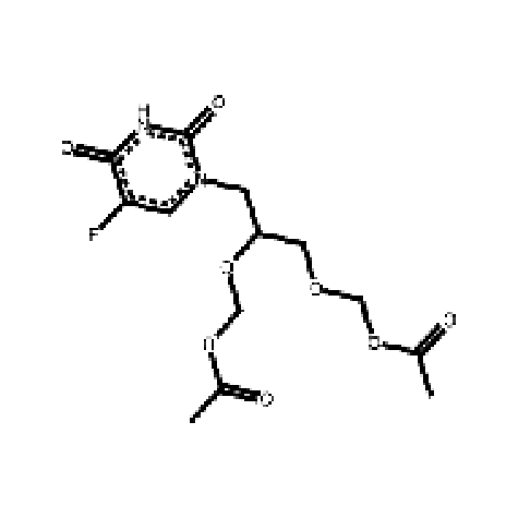 CC(=O)OCOCC(Cn1cc(F)c(=O)[nH]c1=O)OCOC(C)=O